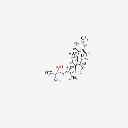 CC(C)[C@@H](O)CC[C@@H](C)[C@H]1CC[C@H]2[C@@H]3CC=C4C[C@@H](C)CC[C@]4(C)[C@H]3CC[C@]12C